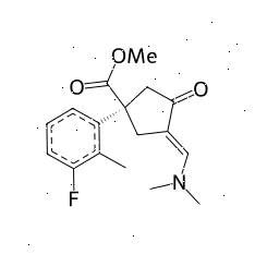 COC(=O)[C@@]1(c2cccc(F)c2C)CC(=O)C(=CN(C)C)C1